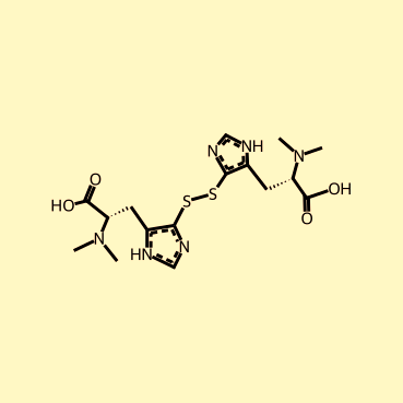 CN(C)[C@@H](Cc1[nH]cnc1SSc1nc[nH]c1C[C@@H](C(=O)O)N(C)C)C(=O)O